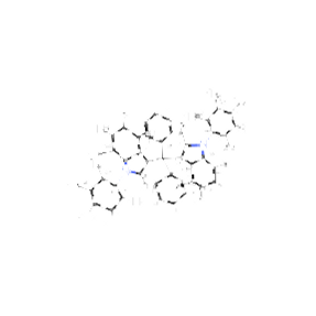 [2H]c1c([2H])c([2H])c(-n2c([2H])c(C(c3ccccc3)(c3ccccc3)c3c([2H])n(-c4c([2H])c([2H])c([2H])c([2H])c4[2H])c4c([2H])c([2H])c([2H])c([2H])c34)c3c([2H])c([2H])c([2H])c([2H])c32)c([2H])c1[2H]